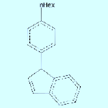 CCCCCCc1ccc(C2C=Cc3ccccc32)cc1